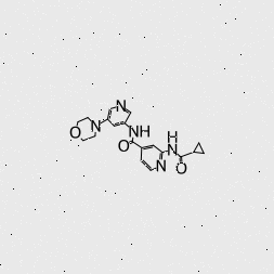 O=C(Nc1cncc(N2CCOCC2)c1)c1ccnc(NC(=O)C2CC2)c1